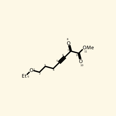 CCOCCCC#CC(=O)C(=O)OC